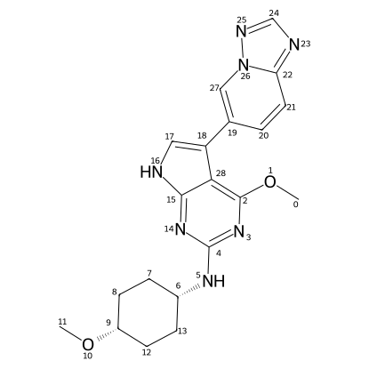 COc1nc(N[C@H]2CC[C@@H](OC)CC2)nc2[nH]cc(-c3ccc4ncnn4c3)c12